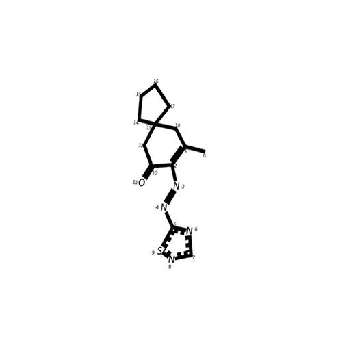 CC1=C(N=Nc2ncns2)C(=O)CC2(CCCC2)C1